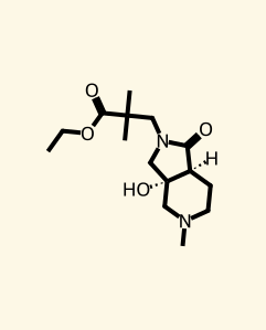 CCOC(=O)C(C)(C)CN1C[C@]2(O)CN(C)CC[C@@H]2C1=O